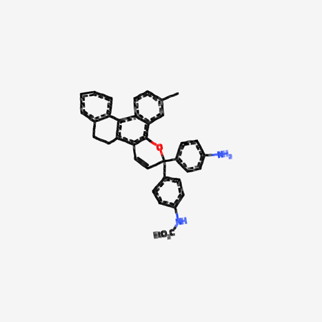 CCOC(=O)Nc1ccc(C2(c3ccc(N)cc3)C=Cc3c4c(c5ccc(C)cc5c3O2)-c2ccccc2CC4)cc1